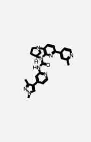 Cc1cc(-c2ccc3c(n2)N(C(=O)Nc2cc(-c4cn(C)nc4C)ccn2)[C@H]2CCN3C2)ccn1